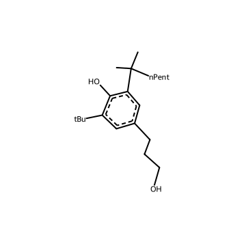 CCCCCC(C)(C)c1cc(CCCO)cc(C(C)(C)C)c1O